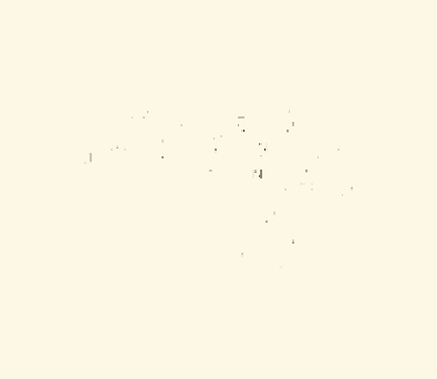 O=C(Cc1ccc(Cl)cc1)Nn1nc(C2CCCCC2)c2ccccc2c1=O